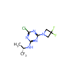 C[C@H](Nc1nc(Cl)nc(N2CC(F)(F)C2)n1)C(F)(F)F